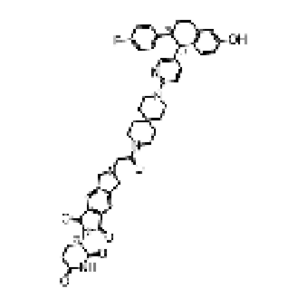 O=C1CC[C@@H](N2C(=O)c3cc4c(cc3C2=O)CN(CC(=O)N2CCC3(CC2)CCN(c2ccc([C@@H]5c6ccc(O)cc6CC[C@@H]5c5ccc(F)cc5)cn2)CC3)C4)C(=O)N1